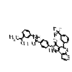 CC(O)c1cccc(NC(=O)c2ccc(-n3[nH]c4c(c(-c5cccc(C(F)(F)F)c5)nc5sccc54)c3=O)cc2)c1